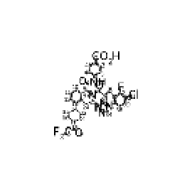 O=C(O)c1ccc(NC(=O)C2c3cccc(C4CCC(C(=O)C(F)(F)F)CC4)c3CCN2C(=O)/C=C/c2c(-n3cnnn3)ccc(Cl)c2F)cc1